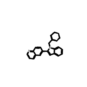 c1cnc2ccc(-c3cc4ccccc4n3CC3CCCCC3)cc2c1